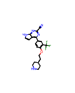 N#Cc1nc(-c2ccc(OCCC3CCNCC3)c(C(F)(F)F)c2)c2cc[nH]c2n1